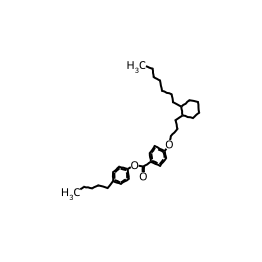 CCCCCCCC1CCCCC1CCCOc1ccc(C(=O)Oc2ccc(CCCCC)cc2)cc1